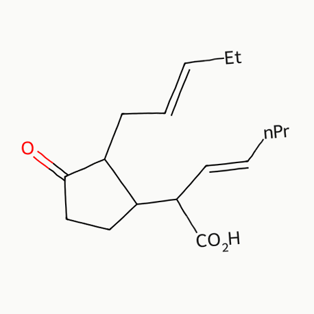 CCC=CCC1C(=O)CCC1C(C=CCCC)C(=O)O